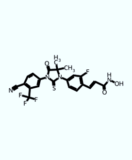 CC1(C)C(=O)N(c2ccc(C#N)c(C(F)(F)F)c2)C(=S)N1c1ccc(/C=C/C(=O)NO)c(F)c1